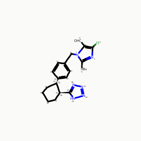 CCCCc1nc(Cl)c(C=O)n1Cc1ccc([C@H]2CCCC[C@@H]2c2nnn[nH]2)cc1